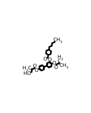 C=C(C)C(=O)Oc1ccc(-c2ccc(OC(=O)C(=C)CO)cc2)cc1OC(=O)C1CCC(CCCCC)CC1